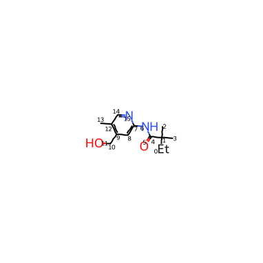 CCC(C)(C)C(=O)Nc1cc(CO)c(C)cn1